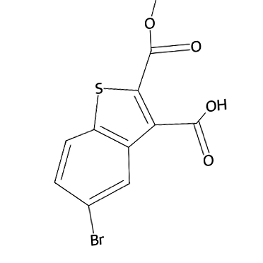 COC(=O)c1sc2ccc(Br)cc2c1C(=O)O